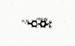 N=C1C(=N)C([N+](=O)[O-])=CC=C1N1CCC(CN)CC1